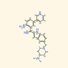 CN(C)C1CCN(Cc2ccc3[nH]c(C(=N)c4cc(-c5cccnc5)ccc4N)cc3c2)CC1